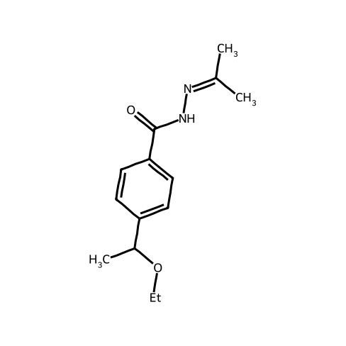 CCOC(C)c1ccc(C(=O)NN=C(C)C)cc1